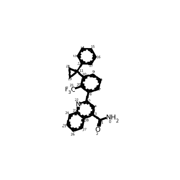 NC(=O)c1cc(-c2cccc(C3(c4ccccc4)CC3)c2C(F)(F)F)nc2ccccc12